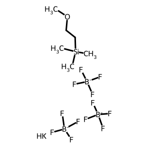 COCC[Si](C)(C)C.F[B-](F)(F)F.F[B-](F)(F)F.F[B-](F)(F)F.[KH]